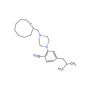 CC(C)Cc1ccc(C#N)c(N2CCN(CC3CCCCCCCC3)CC2)c1